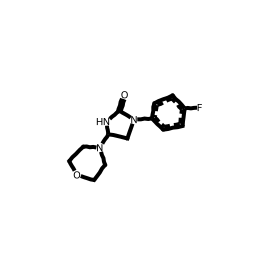 O=C1NC(N2CCOCC2)CN1c1ccc(F)cc1